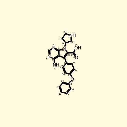 Nc1ncnc2c1c(-c1ccc(Oc3ccccc3)cc1)c(C(=O)O)n2C1CCNC1